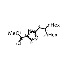 CCCCCCC(CCCCCC)Cc1nc(C(=O)OC)co1